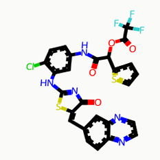 O=C1N=C(Nc2cc(NC(=O)C(OC(=O)C(F)(F)F)c3cccs3)ccc2Cl)SC1=Cc1ccc2nccnc2c1